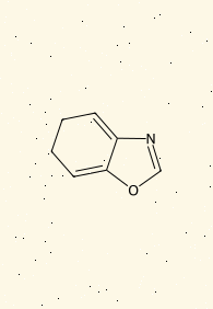 C1=c2ncoc2=CCC1